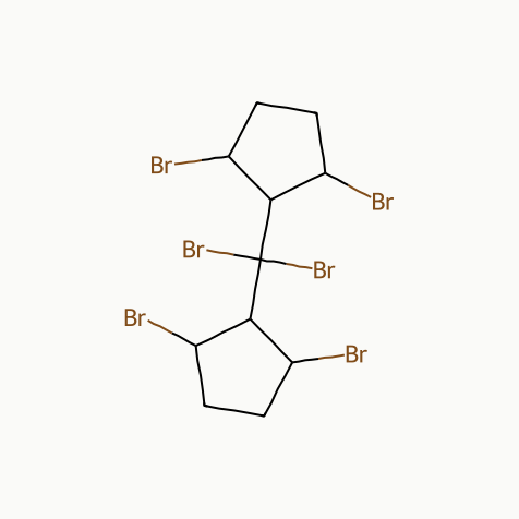 BrC1CCC(Br)C1C(Br)(Br)C1C(Br)CCC1Br